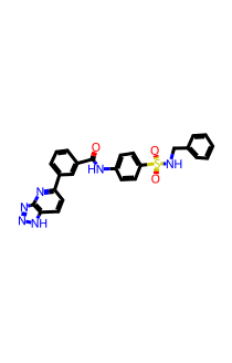 O=C(Nc1ccc(S(=O)(=O)NCc2ccccc2)cc1)c1cccc(-c2ccc3[nH]nnc3n2)c1